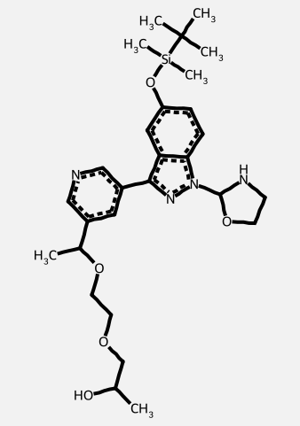 CC(O)COCCOC(C)c1cncc(-c2nn(C3NCCO3)c3ccc(O[Si](C)(C)C(C)(C)C)cc23)c1